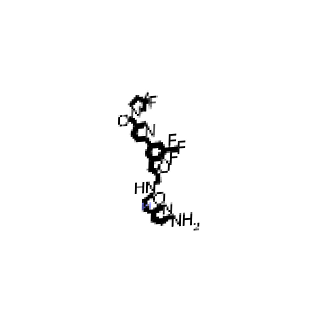 C[C@]1(F)CCN(C(=O)c2ccc(-c3cc(C(F)(F)F)c4oc(CNC(=O)/C=C\c5ccc(N)nc5)cc4c3)nc2)C1